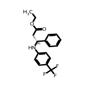 CCOC(=O)C[C@@H](Nc1ccc(C(F)(F)F)cc1)c1ccccc1